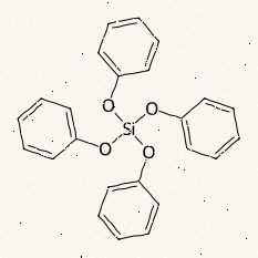 c1ccc(O[Si](Oc2ccccc2)(Oc2ccccc2)Oc2ccccc2)cc1